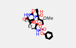 C#C[C@@](O)([C@H](O)[C@@H](COP(=O)(N[C@@H](C)C(=O)OC(CC)CC)Oc1ccccc1)OC)n1ccc(=O)[nH]c1=O